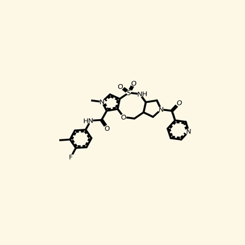 Cc1cc(NC(=O)c2c3c(cn2C)S(=O)(=O)NC2CN(C(=O)c4cccnc4)CC2CO3)ccc1F